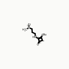 CCN(C)CCCNC1=C(C(C)(C)C)CC1=O